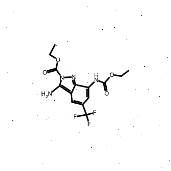 CCOC(=O)Nc1cc(C(F)(F)F)cc2c(N)n(C(=O)OCC)nc12